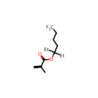 C=C(C)C(=O)OC(CC)(CC)CCCC(F)(F)F